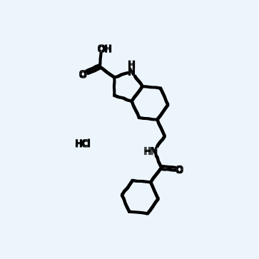 Cl.O=C(NCC1CCC2NC(C(=O)O)CC2C1)C1CCCCC1